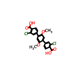 COc1cc(-c2ccc(C(=O)O)c(Cl)c2)c(OC)cc1-c1ccc(C(=O)O)c(Cl)c1